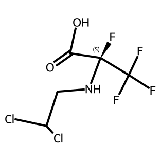 O=C(O)[C@@](F)(NCC(Cl)Cl)C(F)(F)F